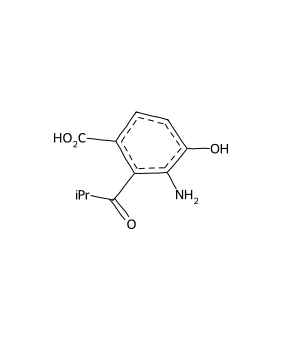 CC(C)C(=O)c1c(C(=O)O)ccc(O)c1N